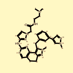 CN(C)CCNC(=O)Cn1ccc(Nc2ncc3c(n2)-c2c(nn(C)c2Cc2cccc(-c4cnn(C)c4)c2)CC3)n1